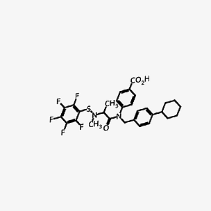 CC(C(=O)N(Cc1ccc(C2CCCCC2)cc1)c1ccc(C(=O)O)cc1)N(C)Sc1c(F)c(F)c(F)c(F)c1F